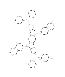 Cc1ccc(N(c2ccccc2)c2cc3c(s2)c2cc4c(cc2n3-c2ccc3ccccc3c2)c2sc(N(c3ccccc3)c3ccc(C)cc3)cc2n4-c2ccc3ccccc3c2)cc1